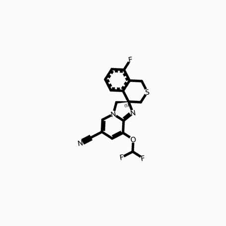 N#CC1=CN2C[C@@]3(CSCc4c(F)cccc43)N=C2C(OC(F)F)=C1